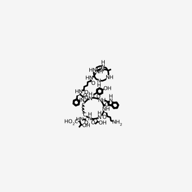 CC(O)[C@H](NC(=O)[C@@H]1CSSC[C@H](NC(=O)[C@@H](Cc2ccccc2)NC(=O)CCCC(=O)NC23CNCCNCC(C)(CNCCNC2)CNCCNC3)C(=O)N[C@@H](Cc2ccc(O)cc2)C(=O)N[C@H](Cc2cc3ccccc3[nH]2)C(=O)N[C@@H](CCCCN)C(=O)N[C@@H](C(C)O)C(=O)N1)C(=O)O